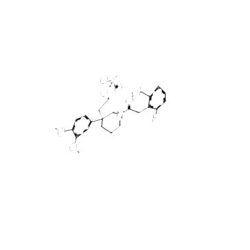 COc1ccc([C@@]2(CCOS(C)(=O)=O)CCCN(C(=O)Cc3c(F)cccc3Cl)C2)cc1OC